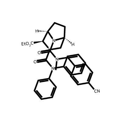 CCOC(=O)[C@H]1[C@H]2CC[C@@H](CN1C(=O)N(c1ccccc1)c1ccccc1)N2C(=O)N(C)Cc1ccc(C#N)cc1